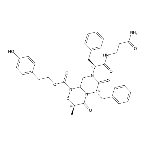 C[C@H]1ON(C(=O)OCCc2ccc(O)cc2)C2CN([C@@H](Cc3ccccc3)C(=O)NCCC(N)=O)C(=O)[C@H](Cc3ccccc3)N2C1=O